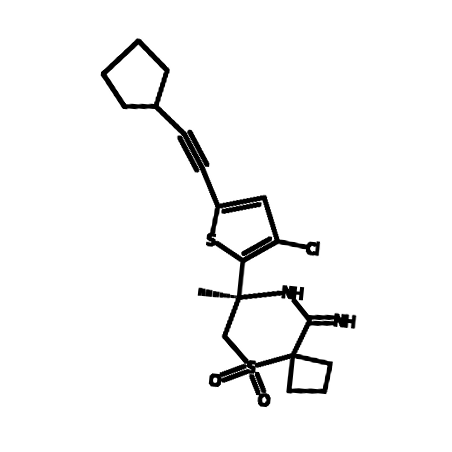 C[C@@]1(c2sc(C#CC3CCCC3)cc2Cl)CS(=O)(=O)C2(CCC2)C(=N)N1